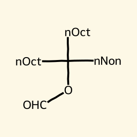 CCCCCCCCCC(CCCCCCCC)(CCCCCCCC)OC=O